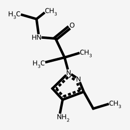 CCc1nn(C(C)(C)C(=O)NC(C)C)cc1N